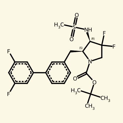 CC(C)(C)OC(=O)N1CC(F)(F)[C@H](NS(C)(=O)=O)[C@@H]1Cc1cccc(-c2cc(F)cc(F)c2)c1